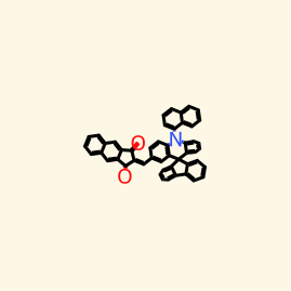 O=C1C(=Cc2ccc3c(c2)C2(c4ccccc4-c4ccccc42)c2ccccc2N3c2cccc3ccccc23)C(=O)c2cc3ccccc3cc21